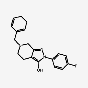 Oc1c2c(nn1-c1ccc(F)cc1)CN(CC1=CCCC=C1)CC2